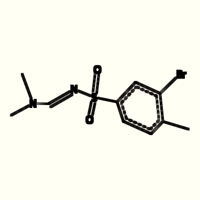 Cc1ccc(S(=O)(=O)N=CN(C)C)cc1Br